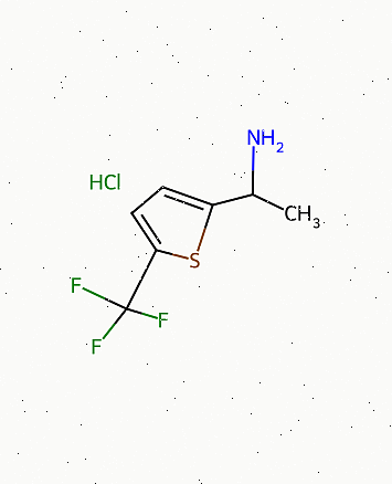 CC(N)c1ccc(C(F)(F)F)s1.Cl